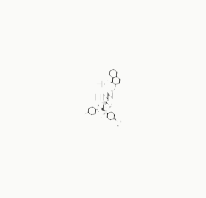 CCOc1ccc(S(=O)(=O)N(CC(=O)N/N=C/Cc2ccc3ccccc3c2O)c2ccc(C)cc2)cc1